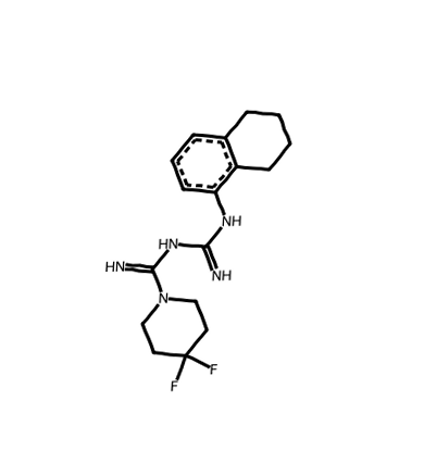 N=C(NC(=N)N1CCC(F)(F)CC1)Nc1cccc2c1CCCC2